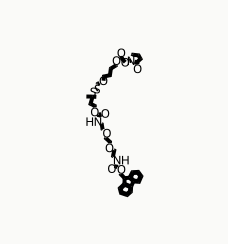 CC(C)(CCOC(=O)NCCOCCOCCNC(=O)OCC1c2ccccc2-c2ccccc21)SSCOCCCCOC(=O)ON1CCCC1=O